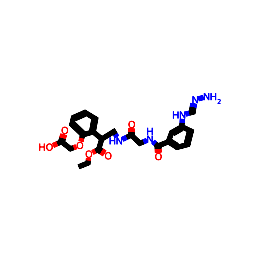 CCOC(=O)C(CNC(=O)CNC(=O)c1cccc(NC=NN)c1)c1ccccc1OCC(=O)O